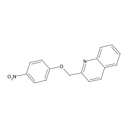 O=[N+]([O-])c1ccc(OCc2ccc3ccccc3n2)cc1